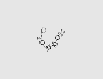 Cc1cc(-c2nc(-c3ccc(OC(F)(F)F)cc3)no2)nn1Cc1ccc(NCCN2CCCCC2)nc1